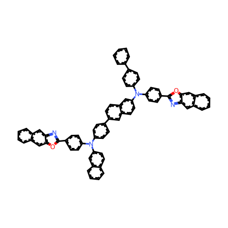 c1ccc(-c2ccc(N(c3ccc(-c4nc5cc6ccccc6cc5o4)cc3)c3ccc4cc(-c5ccc(N(c6ccc(-c7nc8cc9ccccc9cc8o7)cc6)c6ccc7ccccc7c6)cc5)ccc4c3)cc2)cc1